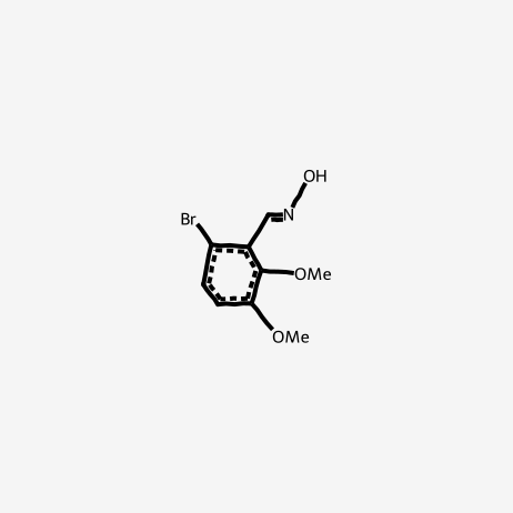 COc1ccc(Br)c(C=NO)c1OC